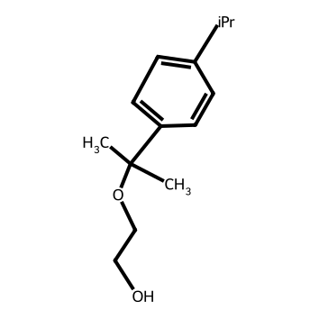 CC(C)c1ccc(C(C)(C)OCCO)cc1